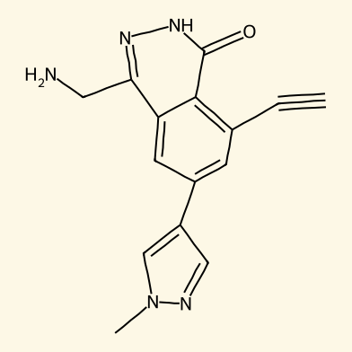 C#Cc1cc(-c2cnn(C)c2)cc2c(CN)n[nH]c(=O)c12